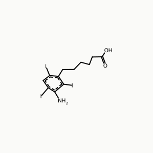 Nc1c(I)cc(I)c(CCCCCC(=O)O)c1I